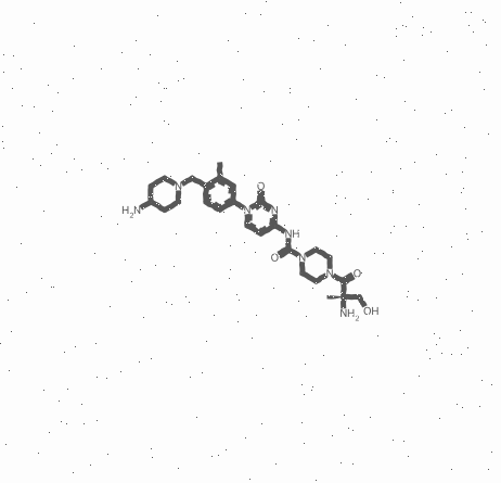 Cc1cc(-n2ccc(NC(=O)N3CCN(C(=O)[C@@](C)(N)CO)CC3)nc2=O)ccc1CN1CCC(N)CC1